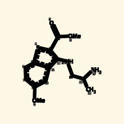 COC(=O)c1sc2ccc(OC)cc2c1NCC(C)N